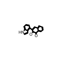 O=C1C(=O)c2ccccc2C=C1c1cccc2[nH]ccc12